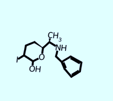 C[C@@H](NCc1ccccc1)[C@@H]1CCC(I)C(O)O1